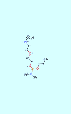 CC(C)N(C(C)C)P(OCCC#N)OCCOCCNC(=O)O